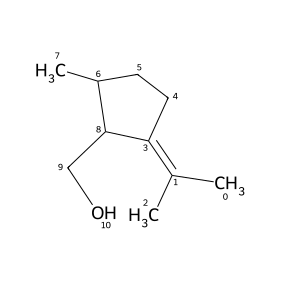 CC(C)=C1CCC(C)C1CO